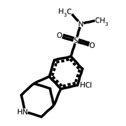 CN(C)S(=O)(=O)c1ccc2c(c1)C1CNCC2C1.Cl